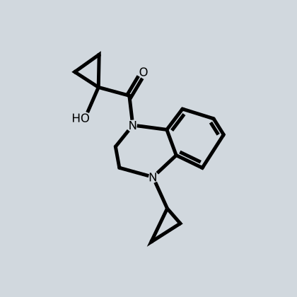 O=C(N1CCN(C2CC2)c2ccccc21)C1(O)CC1